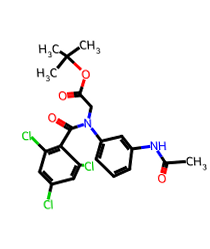 CC(=O)Nc1cccc(N(CC(=O)OC(C)(C)C)C(=O)c2c(Cl)cc(Cl)cc2Cl)c1